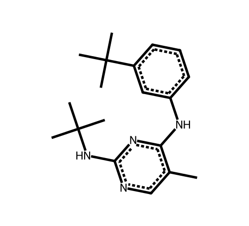 Cc1cnc(NC(C)(C)C)nc1Nc1cccc(C(C)(C)C)c1